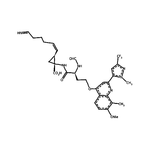 COc1ccc2c(OCC[C@H](NC=O)C(=O)N[C@]3(C(=O)O)C[C@H]3/C=C\CCCC=N)cc(-c3cc(C(F)(F)F)nn3C)nc2c1C